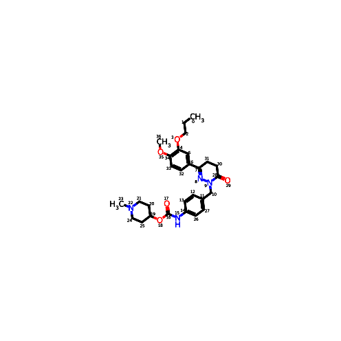 CCCOc1cc(C2=NN(Cc3ccc(NC(=O)OC4CCN(C)CC4)cc3)C(=O)CC2)ccc1OC